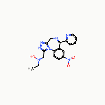 CCN(O)Cc1nnc2n1-c1ccc([N+](=O)[O-])cc1C(c1ccccn1)=NC2